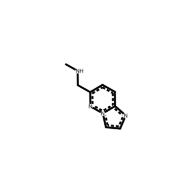 CNCc1ccc2nccn2n1